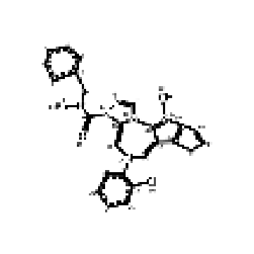 CCCCN(Cc1ccccc1)C(=O)N1N=CN2C1=CN(c1ccccc1Cl)C=C1C3=C(C=CC3)S(C)=C12